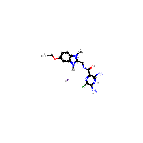 CCn1c(CNC(=O)c2nc(Cl)c(N)nc2N)[n+](C)c2ccc(OCC(=O)O)cc21.[I-]